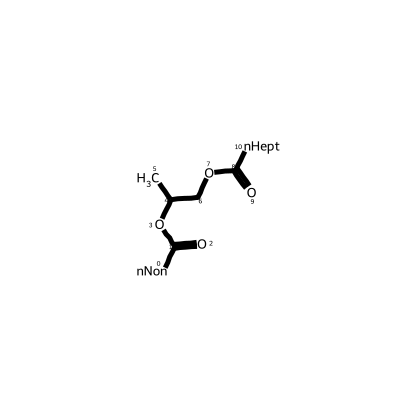 CCCCCCCCCC(=O)OC(C)COC(=O)CCCCCCC